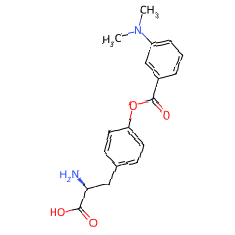 CN(C)c1cccc(C(=O)Oc2ccc(C[C@H](N)C(=O)O)cc2)c1